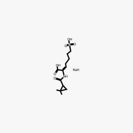 CC1(C)CC1C(=O)N/C(=C/CCCCS(=O)(=O)O)C(=O)O.[NaH]